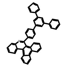 c1ccc(-c2cc(-c3ccccc3)cc(-c3ccc(-c4nc5ccccc5c5c6ccccc6c6ccccc6c45)cc3)c2)cc1